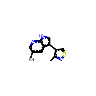 Cc1nscc1-c1c[nH]c2ncc(C#N)cc12